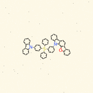 c1ccc(S(c2ccccc2)(c2ccc(-n3c4ccccc4c4ccccc43)cc2)c2cccc(-n3c4ccccc4c4ccc5c6ccccc6oc5c43)c2)cc1